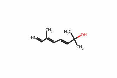 [CH]=C/C(C)=C/C=C/C(C)(C)O